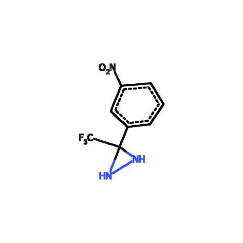 O=[N+]([O-])c1cccc(C2(C(F)(F)F)NN2)c1